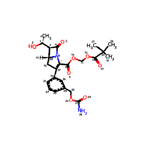 C[C@@H](O)[C@H]1C(=O)N2C(C(=O)OCOC(=O)C(C)(C)C)=C(c3cccc(COC(N)=O)c3)C[C@H]12